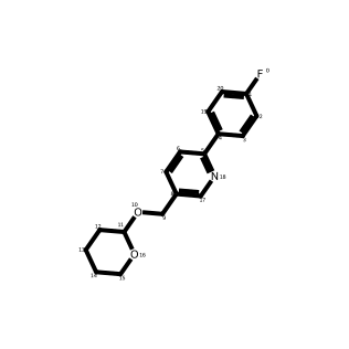 Fc1ccc(-c2ccc(COC3CCCCO3)cn2)cc1